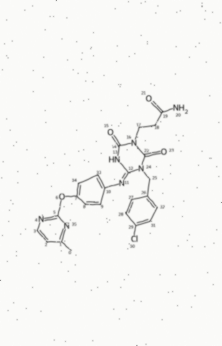 Cc1ccnc(Oc2ccc(/N=c3\[nH]c(=O)n(CCC(N)=O)c(=O)n3Cc3ccc(Cl)cc3)cc2)n1